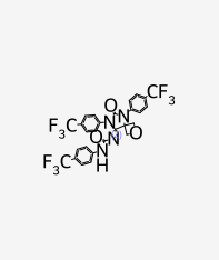 O=C(/N=C1\N(c2ccc(C(F)(F)F)cc2)C(=O)N(c2ccc(C(F)(F)F)cc2)C12COC2)Nc1ccc(C(F)(F)F)cc1